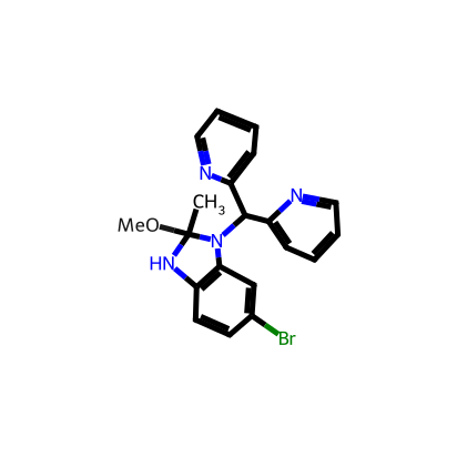 COC1(C)Nc2ccc(Br)cc2N1C(c1ccccn1)c1ccccn1